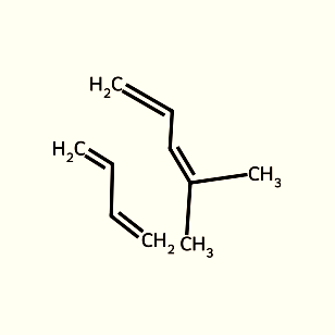 C=CC=C.C=CC=C(C)C